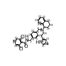 O=C(NCc1ccc(CN(CCc2cnc[nH]2)C2CCCc3cccnc32)cc1)c1c(Cl)cncc1Cl